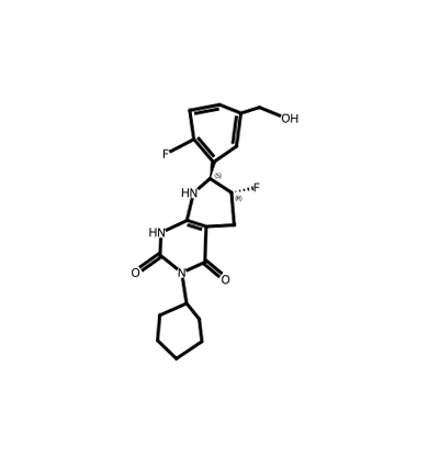 O=c1[nH]c2c(c(=O)n1C1CCCCC1)C[C@@H](F)[C@H](c1cc(CO)ccc1F)N2